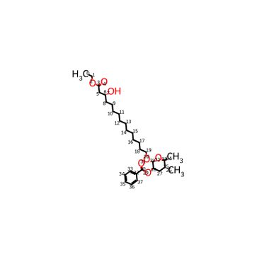 CCOC(=O)C[C@H](O)CCCCCCCCCCCCO[C@@H]1OC(C)[C@H](C)CC1OC(=O)c1ccccc1